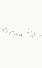 COc1cc2nccc(OCC(=O)NNc3ncc(-c4ccc(Cl)cc4)nn3)c2cc1OC